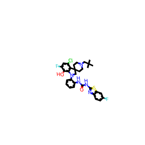 CC(C)(C)CN1CCC2(CC1)CN(c1ccccc1NC(=O)Nc1nc3ccc(F)cc3s1)c1c(O)c(F)cc(Cl)c12